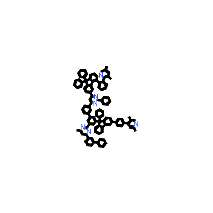 Cc1cnc(-c2ccccc2-c2cccc3c2-c2cc(-c4cc(-c5cccc(-c6cc(-c7nc(C)cc(-c8cccc(-c9ccccc9)c8)n7)cc(C7(c8ccccc8)c8ccccc8-c8cc(-c9ccc(-c%10cc(C)ncc%10C)cc9)ccc87)c6)c5)nc(-c5ccccc5)n4)ccc2C3(c2ccccc2)c2ccccc2)c(C)c1